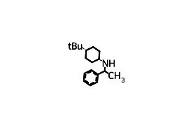 CC(N[C@H]1CC[C@@H](C(C)(C)C)CC1)c1ccccc1